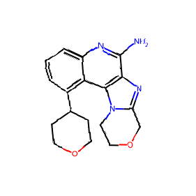 Nc1nc2cccc(C3CCOCC3)c2c2c1nc1n2CCOC1